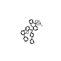 CC1(C)c2ccccc2Cc2c(N(c3ccc(-c4ccccc4)cc3)c3cccc4c3oc3c(-c5ccccc5)cccc34)cccc21